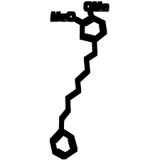 COc1ccc(CCCCCCCCc2ccccc2)cc1OC